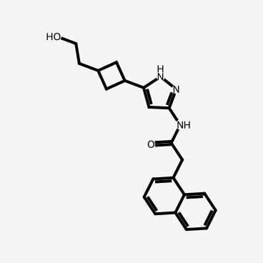 O=C(Cc1cccc2ccccc12)Nc1cc(C2CC(CCO)C2)[nH]n1